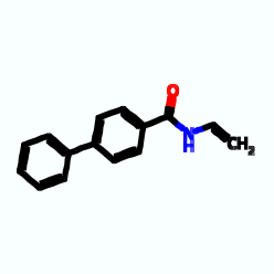 C=CNC(=O)c1ccc(-c2ccccc2)cc1